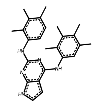 Cc1ccc(Nc2nc(Nc3cc(C)c(C)c(C)c3C)c3cc[nH]c3n2)c(C)c1C